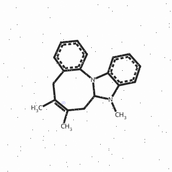 C/C1=C(\C)CC2N(C)c3ccccc3N2c2ccccc2C1